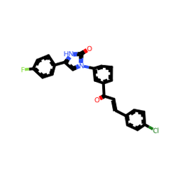 O=C(C=Cc1ccc(Cl)cc1)c1cccc(-n2cc(-c3ccc(F)cc3)[nH]c2=O)c1